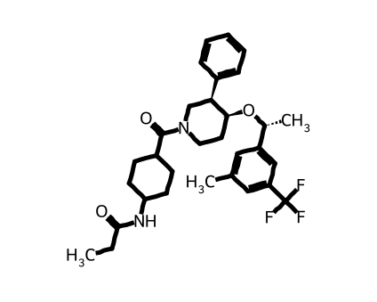 CCC(=O)NC1CCC(C(=O)N2CC[C@H](O[C@H](C)c3cc(C)cc(C(F)(F)F)c3)[C@H](c3ccccc3)C2)CC1